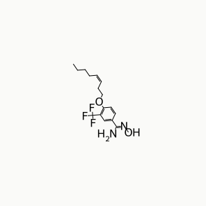 CCCC/C=C\CCOc1ccc(/C(N)=N/O)cc1C(F)(F)F